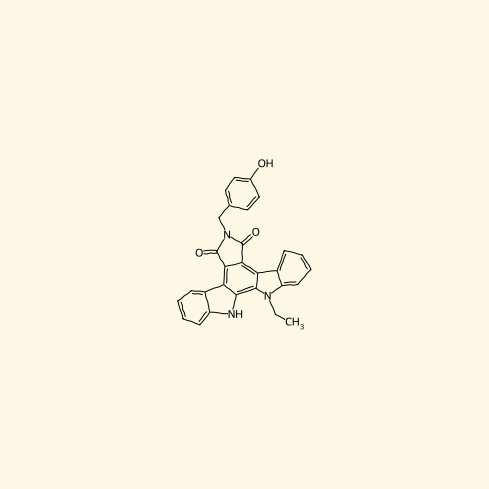 CCn1c2ccccc2c2c3c(c4c5ccccc5[nH]c4c21)C(=O)N(Cc1ccc(O)cc1)C3=O